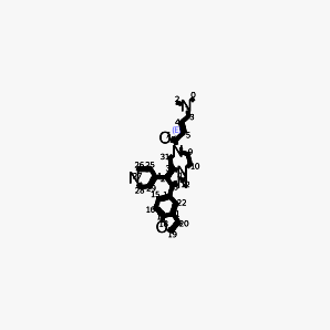 CN(C)C/C=C/C(=O)N1CCn2nc(-c3ccc4occc4c3)c(-c3ccncc3)c2C1